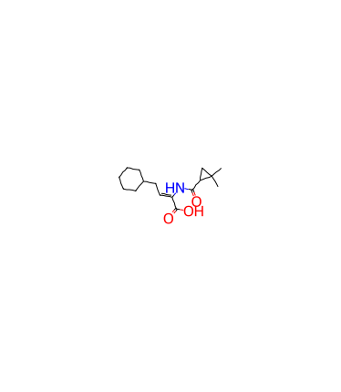 CC1(C)CC1C(=O)NC(=CCC1CCCCC1)C(=O)O